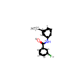 O=C(O)c1cccc(NC(=O)c2cccc(F)c2)c1